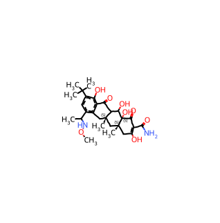 CONC(C)c1cc(C(C)(C)C)c(O)c2c1C[C@@]1(C)C[C@@]3(C)CC(O)=C(C(N)=O)C(=O)[C@@]3(O)C(O)C1C2=O